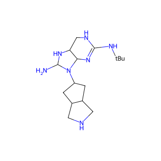 CC(C)(C)NC1=NC2C(CN1)NC(N)N2C1CC2CNCC2C1